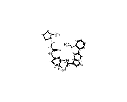 COc1ncccc1-c1cn2ncc(C(=O)Nc3cc(NC(=O)OC[C@@H]4CCCN4C)cnc3C)c2s1